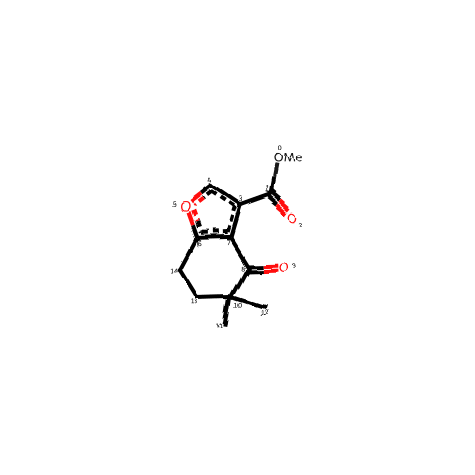 COC(=O)c1coc2c1C(=O)C(C)(C)CC2